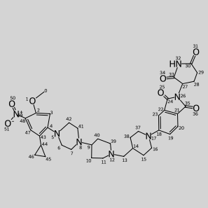 COc1cc(N2CCN(C3CCN(CC4CCN(c5ccc6c(c5)C(=O)N(C5CCC(=O)NC5=O)C6=O)CC4)CC3)CC2)c(C2CC2)cc1[N+](=O)[O-]